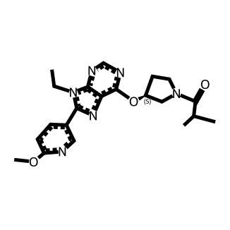 CCn1c(-c2ccc(OC)nc2)nc2c(O[C@H]3CCN(C(=O)C(C)C)C3)ncnc21